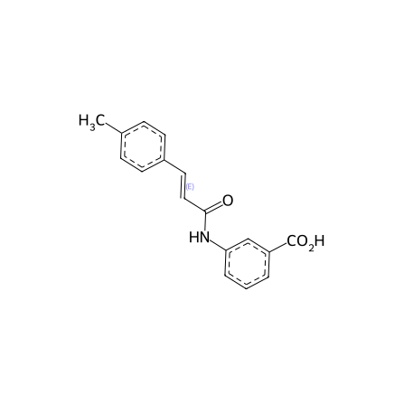 Cc1ccc(/C=C/C(=O)Nc2cccc(C(=O)O)c2)cc1